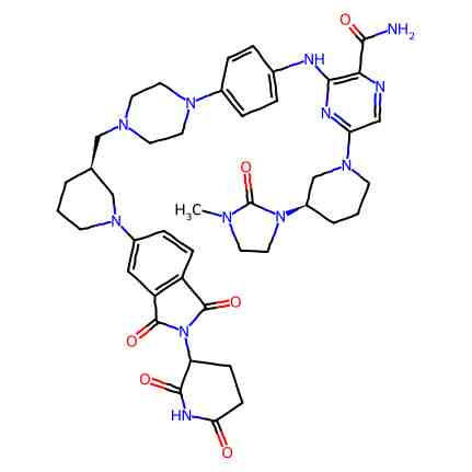 CN1CCN([C@@H]2CCCN(c3cnc(C(N)=O)c(Nc4ccc(N5CCN(C[C@@H]6CCCN(c7ccc8c(c7)C(=O)N(C7CCC(=O)NC7=O)C8=O)C6)CC5)cc4)n3)C2)C1=O